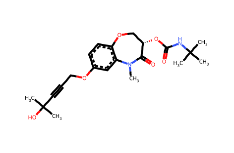 CN1C(=O)[C@@H](OC(=O)NC(C)(C)C)COc2ccc(OCC#CC(C)(C)O)cc21